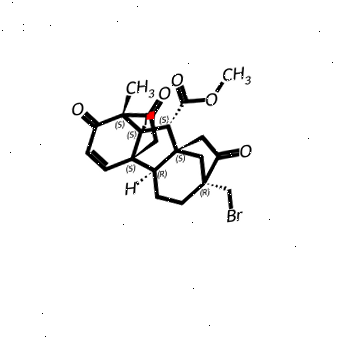 COC(=O)[C@H]1[C@@H]2[C@]3(C)C(=O)C=C[C@@]2(CC3=O)[C@@H]2CC[C@@]3(CBr)C[C@@]12CC3=O